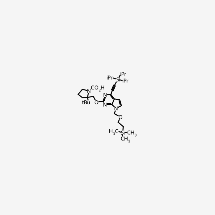 CC(C)[Si](C#Cc1nc(OCC2(C(C)(C)C)CCCN2C(=O)O)nc2c1ccn2COCC[Si](C)(C)C)(C(C)C)C(C)C